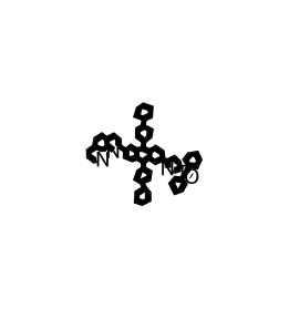 O=P(c1ccccc1)(c1ccccc1)c1ccc(-c2ccc3c(-c4ccc(-c5ccccc5)cc4)c4cc(-c5ccc6ccc7cccnc7c6n5)ccc4c(-c4ccc(-c5ccccc5)cc4)c3c2)nc1